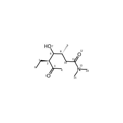 CC[C@H](C(C)=O)C(O)[C@H](C)CC(=O)N(C)C